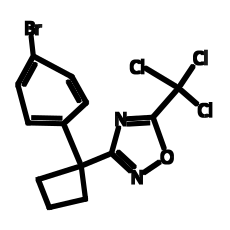 ClC(Cl)(Cl)c1nc(C2(c3ccc(Br)cc3)CCC2)no1